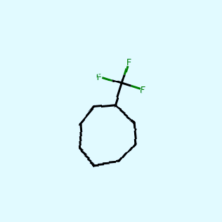 FC(F)(F)C1CCCCCCC1